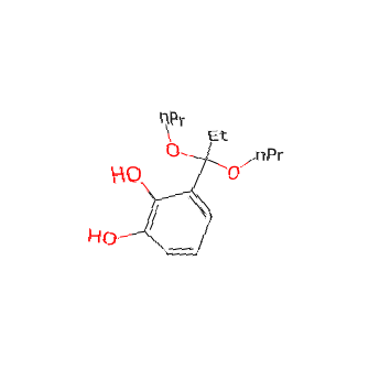 CCCOC(CC)(OCCC)c1cccc(O)c1O